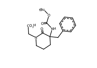 CC(C)(C)OC(=O)NC1(Cc2ccccc2)CCCN(CC(=O)O)C1=O